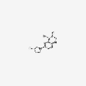 FC1CCN(c2ccc3ncc(Cl)c(Br)c3n2)C1